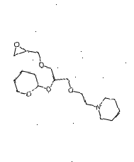 C1CCN(CCOCC(COCC2CO2)OC2CCCCO2)CC1